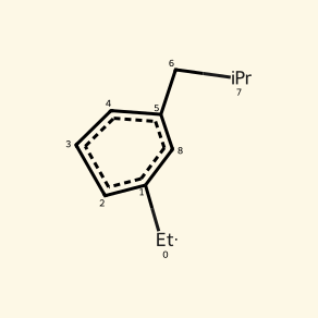 C[CH]c1cccc(CC(C)C)c1